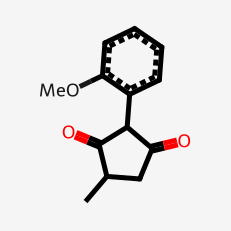 COc1ccccc1C1C(=O)CC(C)C1=O